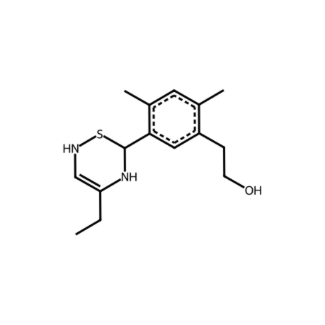 CCC1=CNSC(c2cc(CCO)c(C)cc2C)N1